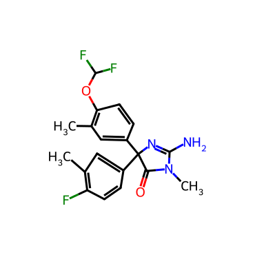 Cc1cc(C2(c3ccc(OC(F)F)c(C)c3)N=C(N)N(C)C2=O)ccc1F